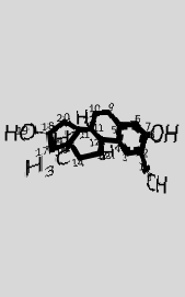 C#Cc1cc2c(cc1O)CC[C@@H]1[C@@H]2CC[C@]2(C)C[C@H](O)C[C@@H]12